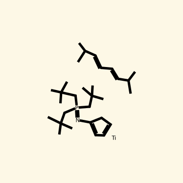 CC(C)(C)CP(CC(C)(C)C)(CC(C)(C)C)=NC1=CC=CC1.CC(C)C=CC=CC(C)C.[Ti]